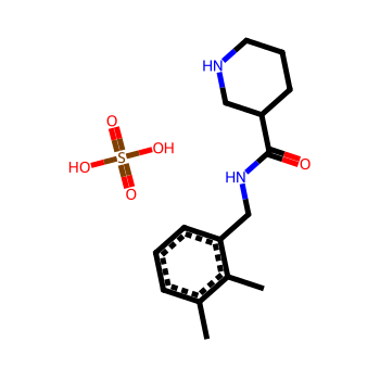 Cc1cccc(CNC(=O)C2CCCNC2)c1C.O=S(=O)(O)O